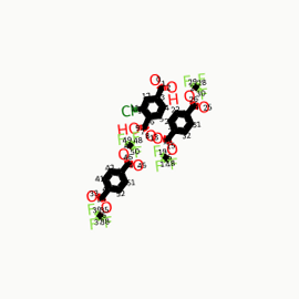 O=C(O)c1ccc(C(=O)O)c(Cl)c1.O=C(OC(F)(F)F)c1ccc(C(=O)OC(F)(F)F)cc1.O=C(OC(F)(F)F)c1ccc(C(=O)OC(F)(F)F)cc1